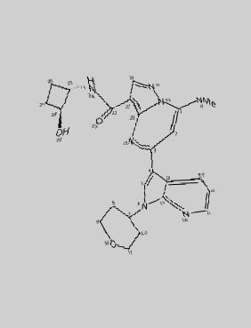 CNc1cc(-c2cn(C3CCOCC3)c3ncccc23)nc2c(C(=O)N[C@H]3CC[C@@H]3O)cnn12